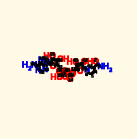 NC(=O)c1ccc[n+]([C@@H]2O[C@H](COP(=O)(O)OP(=O)(O)OC[C@@H]3O[C@H](n4cnc5c(N)ncnc54)[C@@H](O)[C@H]3O)[C@@H](O)[C@H]2O)c1